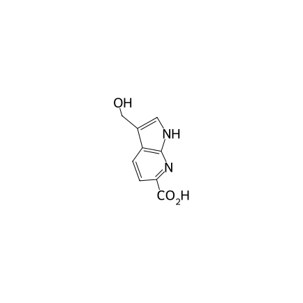 O=C(O)c1ccc2c(CO)c[nH]c2n1